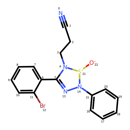 N#CCCN1C(c2ccccc2Br)=NN(c2ccccc2)[S+]1[O-]